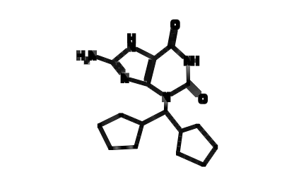 Nc1nc2c([nH]1)c(=O)[nH]c(=O)n2C(C1CCCC1)C1CCCC1